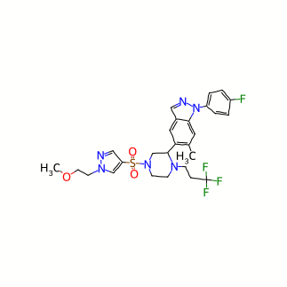 COCCn1cc(S(=O)(=O)N2CCN(CCC(F)(F)F)C(c3cc4cnn(-c5ccc(F)cc5)c4cc3C)C2)cn1